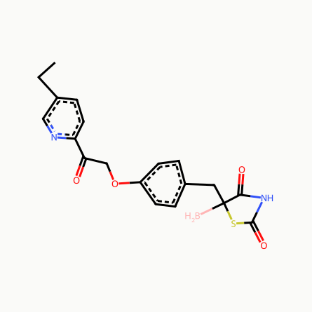 BC1(Cc2ccc(OCC(=O)c3ccc(CC)cn3)cc2)SC(=O)NC1=O